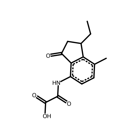 CCC1CC(=O)c2c(NC(=O)C(=O)O)ccc(C)c21